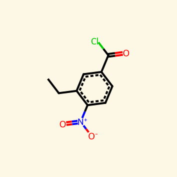 CCc1cc(C(=O)Cl)ccc1[N+](=O)[O-]